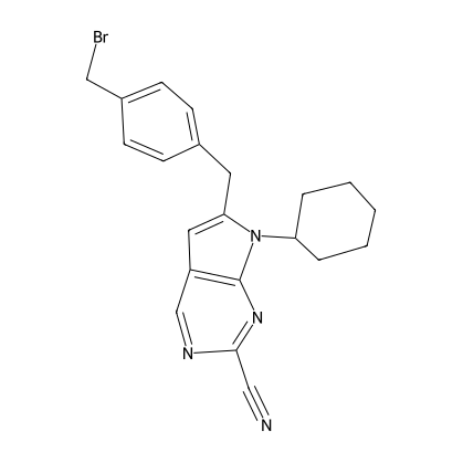 N#Cc1ncc2cc(Cc3ccc(CBr)cc3)n(C3CCCCC3)c2n1